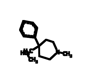 CN1CCC(C)(c2ccccc2)CC1.CO